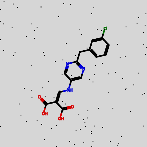 O=C(O)C(=CNc1cnc(Cc2cccc(Cl)c2)nc1)C(=O)O